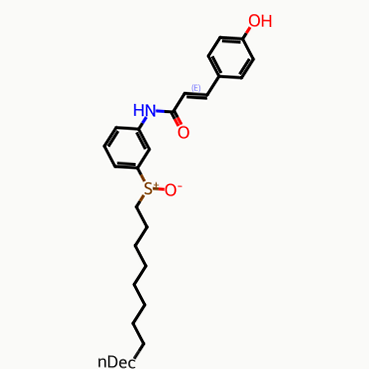 CCCCCCCCCCCCCCCCCC[S+]([O-])c1cccc(NC(=O)/C=C/c2ccc(O)cc2)c1